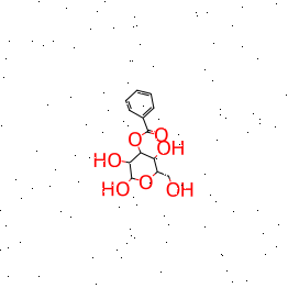 O=C(OC1C(O)C(O)OC(CO)C1O)c1ccccc1